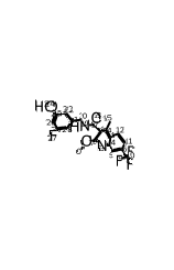 COc1nc2cc(C(F)(F)F)ccc2c(C)c1C(=O)NCc1cc(O)cc(F)c1